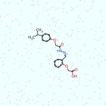 CC(C)c1ccc(OCC(=O)N/N=C\c2ccccc2OCC(=O)O)cc1